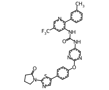 Cc1cccc(-c2ncc(C(F)(F)F)cc2NC(=O)Nc2cnc(Oc3ccc(-c4cnc(N5CCCC5=O)s4)cc3)nc2)c1